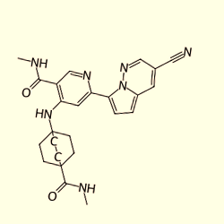 CNC(=O)c1cnc(-c2ccc3cc(C#N)cnn23)cc1NC12CCC(C(=O)NC)(CC1)CC2